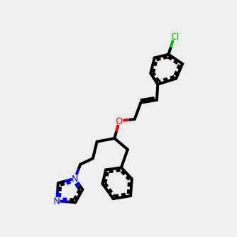 Clc1ccc(C=CCOC(CCCn2ccnc2)Cc2ccccc2)cc1